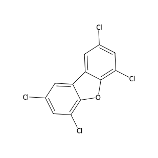 Clc1cc(Cl)c2oc3c(Cl)cc(Cl)cc3c2c1